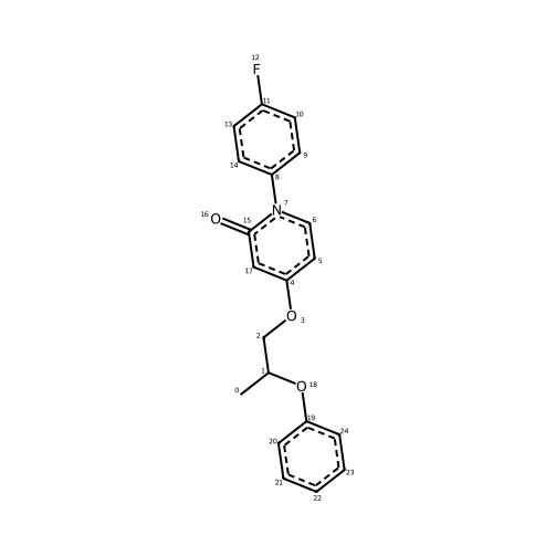 CC(COc1ccn(-c2ccc(F)cc2)c(=O)c1)Oc1ccccc1